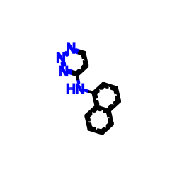 c1ccc2c(Nc3ccnnn3)cccc2c1